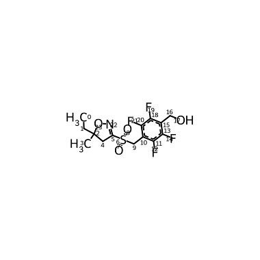 CCC1(C)CC(S(=O)(=O)Cc2c(F)c(F)c(CO)c(F)c2F)=NO1